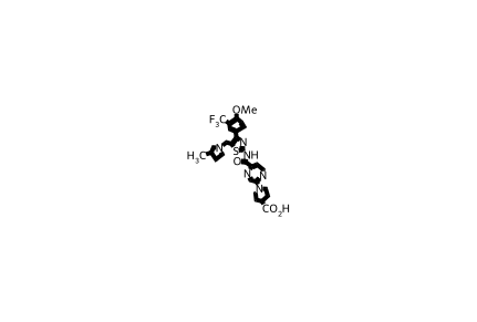 COc1ccc(-c2nc(NC(=O)C3=CCN=C(N4CCC(C(=O)O)CC4)C=N3)sc2CN2CCC(C)C2)cc1C(F)(F)F